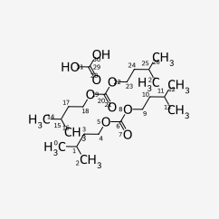 CC(C)CCOC(=O)OCCC(C)C.CC(C)CCOC(=O)OCCC(C)C.O=C(O)O